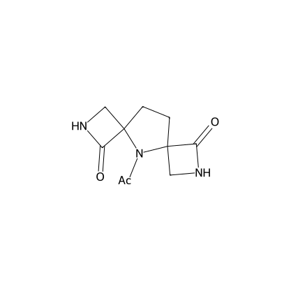 CC(=O)N1C2(CCC13CNC3=O)CNC2=O